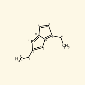 CCC1=[C]C2=C(CC)C=CC2=P1